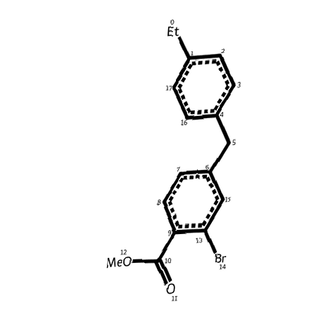 CCc1ccc(Cc2ccc(C(=O)OC)c(Br)c2)cc1